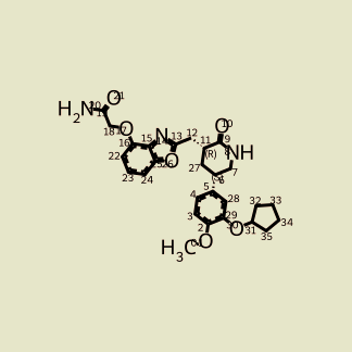 COc1ccc([C@H]2CNC(=O)[C@@H](Cc3nc4c(OCC(N)=O)cccc4o3)C2)cc1OC1CCCC1